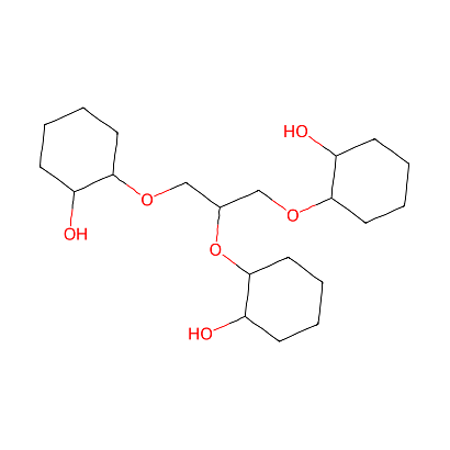 OC1CCCCC1OCC(COC1CCCCC1O)OC1CCCCC1O